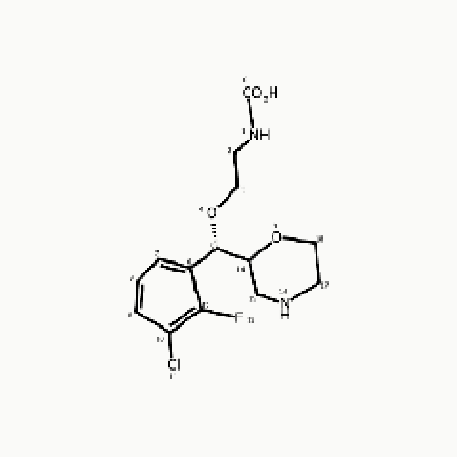 O=C(O)NCCO[C@@H](c1cccc(Cl)c1F)C1CNCCO1